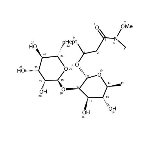 CCCCCCCC(CC(=O)N(C)OC)O[C@@H]1O[C@@H](C)[C@H](O)[C@@H](O)[C@H]1O[C@@H]1O[C@@H](C)[C@H](O)[C@@H](O)[C@H]1O